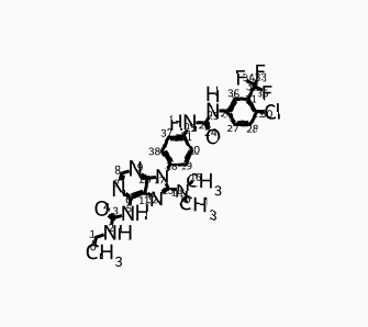 CCNC(=O)Nc1ncnc2c1nc(N(C)C)n2-c1ccc(NC(=O)Nc2ccc(Cl)c(C(F)(F)F)c2)cc1